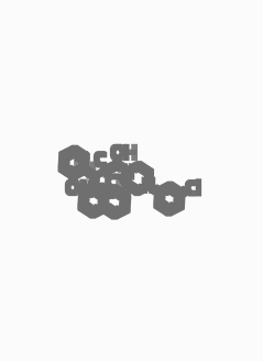 COc1ccccc1[C@H](c1cccc2ccccc12)C(C)(C#N)C(O)N1CCN(c2cccc(Cl)c2)CC1